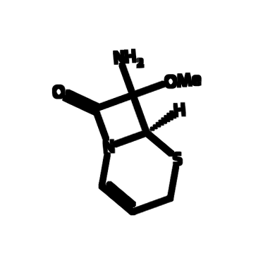 COC1(N)C(=O)N2C=CCS[C@@H]21